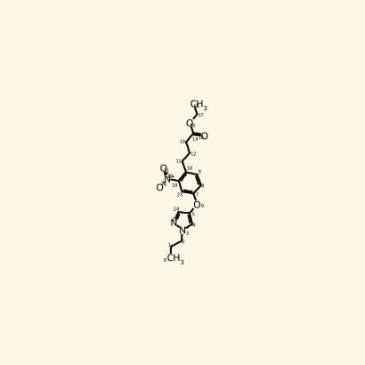 CCCn1cc(Oc2ccc(CCCC(=O)OCC)c([N+](=O)[O-])c2)cn1